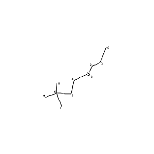 CCCSCCC(C)(C)C